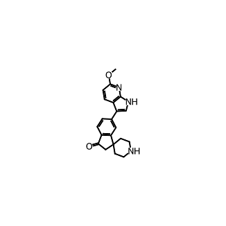 COc1ccc2c(-c3ccc4c(c3)C3(CCNCC3)CC4=O)c[nH]c2n1